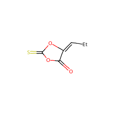 CCC=C1OC(=S)OC1=O